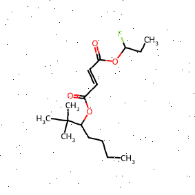 CCCCC(OC(=O)C=CC(=O)OC(F)CC)C(C)(C)C